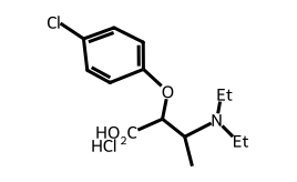 CCN(CC)C(C)C(Oc1ccc(Cl)cc1)C(=O)O.Cl